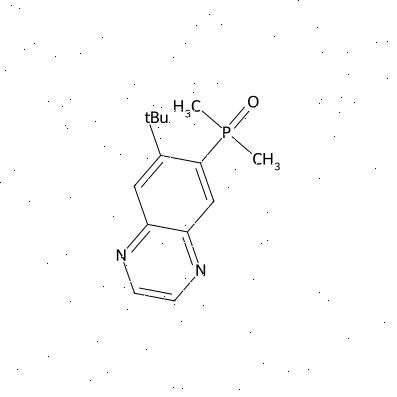 CC(C)(C)c1cc2nccnc2cc1P(C)(C)=O